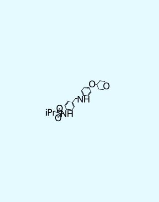 CC(C)S(=O)(=O)Nc1ccc(CNc2ccc(OC3CCOCC3)cc2)cc1